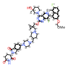 CCc1c(F)ccc2cc(OCOC)cc(-c3ncc4c(N5CCC[C@@](C)(O)C5)nc(OCC5(CN6CCC(CN7CCN(c8ccc9c(c8)CN([C@H]8CCC(=O)NC8=O)C9=O)CC7)CC6)CC5)nc4c3F)c12